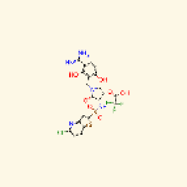 N=C(N)c1ccc(O)c(CN2CCC(NS(=O)(=O)c3cc4nc(Cl)ccc4s3)C2=O)c1O.O=C(O)C(F)(F)F